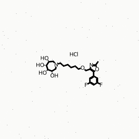 Cc1nc(COCCCCCCN2C[C@H](O)[C@@H](O)[C@H](O)[C@@H](O)C2)c(-c2cc(F)cc(F)c2)o1.Cl